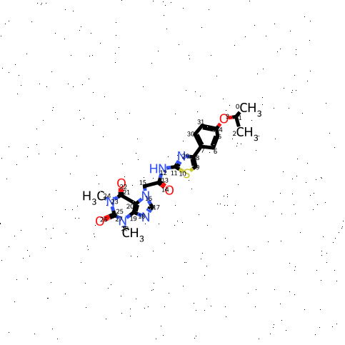 CC(C)Oc1ccc(-c2csc(NC(=O)Cn3cnc4c3c(=O)n(C)c(=O)n4C)n2)cc1